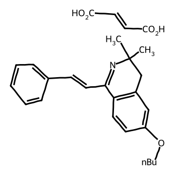 CCCCOc1ccc2c(c1)CC(C)(C)N=C2C=Cc1ccccc1.O=C(O)C=CC(=O)O